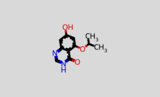 CC(C)Oc1cc(O)cc2nc[nH]c(=O)c12